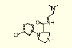 CN(C)CCNC(=O)C1CNCCN1c1cccc(Cl)c1